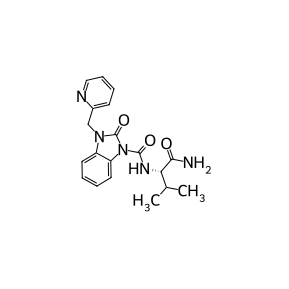 CC(C)[C@H](NC(=O)n1c(=O)n(Cc2ccccn2)c2ccccc21)C(N)=O